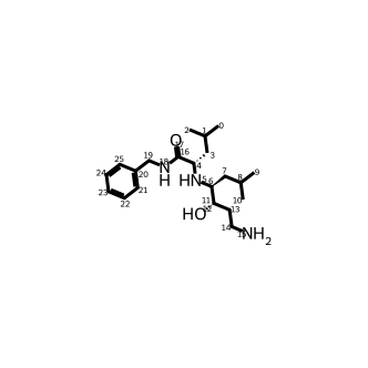 CC(C)C[C@H](N[C@@H](CC(C)C)[C@@H](O)CCN)C(=O)NCc1ccccc1